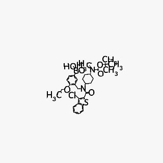 CCOc1ccc(B(O)O)cc1CN(C(=O)c1sc2ccccc2c1Cl)[C@H]1CC[C@H](N(C)C(=O)OC(C)(C)C)CC1